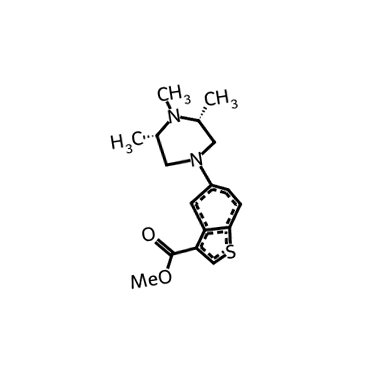 COC(=O)c1csc2ccc(N3C[C@@H](C)N(C)[C@@H](C)C3)cc12